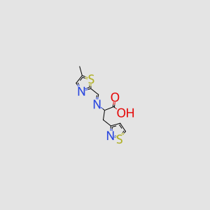 Cc1cnc(C=NC(Cc2ccsn2)C(=O)O)s1